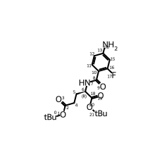 CC(C)(C)OC(=O)CC[C@@H](NC(=O)c1ccc(N)cc1F)C(=O)OC(C)(C)C